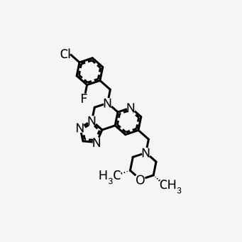 C[C@@H]1CN(Cc2cnc3c(c2)-c2ncnn2CN3Cc2ccc(Cl)cc2F)C[C@H](C)O1